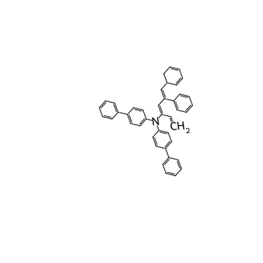 C=C/C(=C\C(=C\C1C=CC=CC1)c1ccccc1)N(c1ccc(-c2ccccc2)cc1)c1ccc(-c2ccccc2)cc1